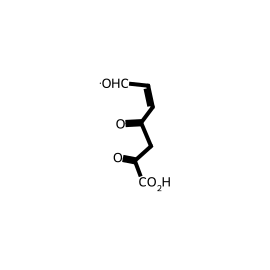 O=[C]/C=C\C(=O)CC(=O)C(=O)O